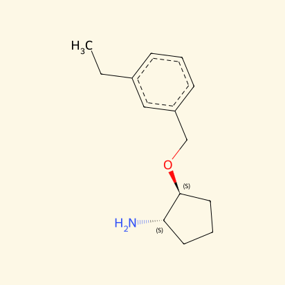 CCc1cccc(CO[C@H]2CCC[C@@H]2N)c1